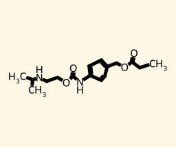 CCC(=O)OCc1ccc(NC(=O)OCCNC(C)C)cc1